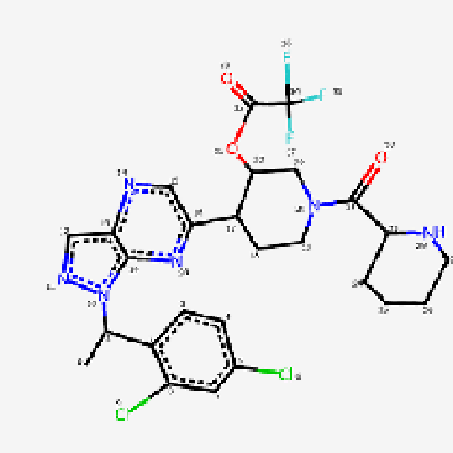 CC(c1ccc(Cl)cc1Cl)n1ncc2ncc(C3CCN(C(=O)C4CCCCN4)CC3OC(=O)C(F)(F)F)nc21